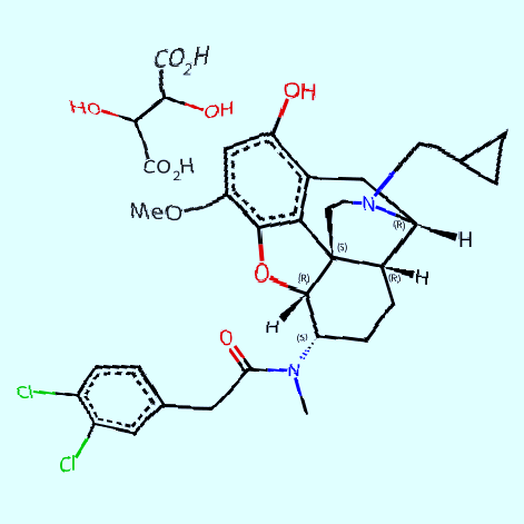 COc1cc(O)c2c3c1O[C@H]1[C@@H](N(C)C(=O)Cc4ccc(Cl)c(Cl)c4)CC[C@H]4[C@@H](C2)N(CC2CC2)CC[C@@]341.O=C(O)C(O)C(O)C(=O)O